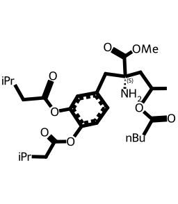 CCCCC(=O)OC(C)C[C@@](N)(Cc1ccc(OC(=O)CC(C)C)c(OC(=O)CC(C)C)c1)C(=O)OC